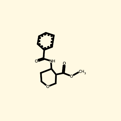 COC(=O)C1COCCC1NC(=O)c1ccccc1